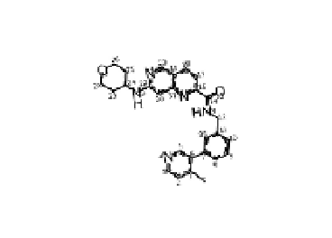 Cc1ccncc1-c1cccc(CNC(=O)c2ccc3cnc(NC4CCOCC4)cc3n2)c1